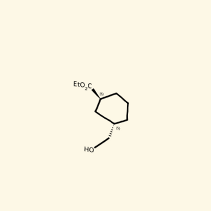 CCOC(=O)[C@H]1CCC[C@H](CO)C1